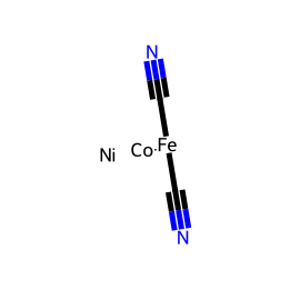 N#[C][Fe][C]#N.[Co].[Ni]